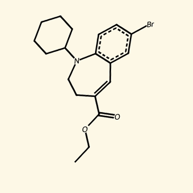 CCOC(=O)C1=Cc2cc(Br)ccc2N(C2CCCCC2)CC1